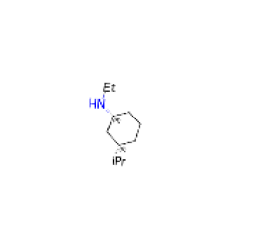 CCN[C@@H]1CCC[C@H](C(C)C)C1